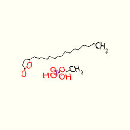 CCCCCCCCCCCCCCCCC1CCC(=O)O1.CCOP(=O)(O)O